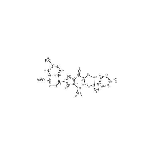 COc1ccc(-c2nc(C(=O)N3CCC(O)(c4ccc(Cl)cc4)CC3)c(CN)o2)c2ccc(C(F)(F)F)nc12